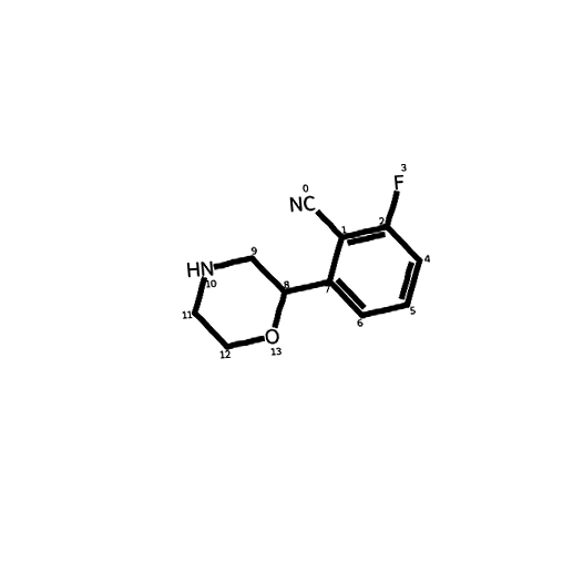 N#Cc1c(F)cccc1C1CNCCO1